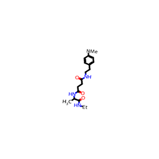 CCNC(=O)C(C)NC(=O)CCC(=O)NCCc1ccc(NC)cc1